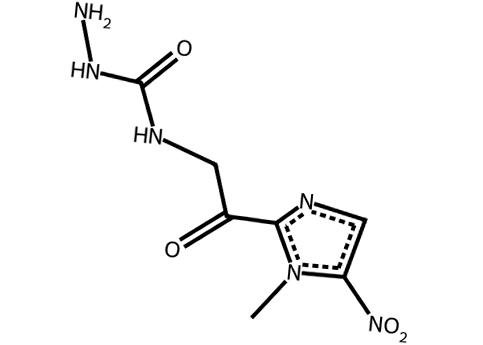 Cn1c([N+](=O)[O-])cnc1C(=O)CNC(=O)NN